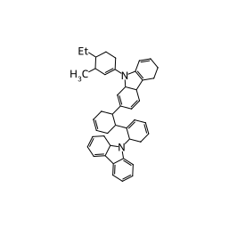 CCC1CCC(N2C3=C(CCC=C3)C3C=CC(C4CC=CCC4C4=CC=CCC4N4c5ccccc5C5=CC=CCC54)=CC32)=CC1C